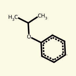 CC(C)Oc1cc[c]cc1